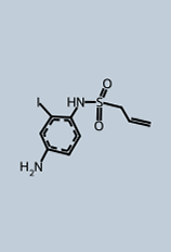 C=CCS(=O)(=O)Nc1ccc(N)cc1I